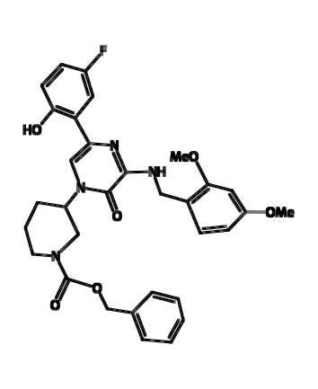 COc1ccc(CNc2nc(-c3cc(F)ccc3O)cn(C3CCCN(C(=O)OCc4ccccc4)C3)c2=O)c(OC)c1